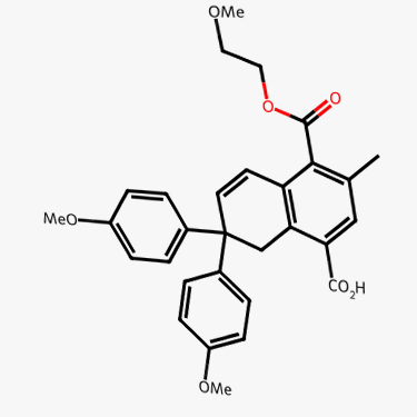 COCCOC(=O)c1c(C)cc(C(=O)O)c2c1C=CC(c1ccc(OC)cc1)(c1ccc(OC)cc1)C2